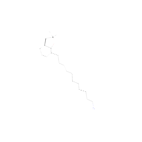 CC1(C)CC2CCCC(CCCCCCCCCCCN)C2O1